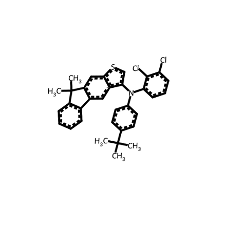 CC(C)(C)c1ccc(N(c2cccc(Cl)c2Cl)c2csc3cc4c(cc23)-c2ccccc2C4(C)C)cc1